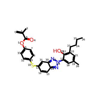 C=C(C)C(=O)Oc1ccc(Sc2ccc3nn(-c4cc(C)cc(CCCC)c4O)nc3c2)cc1